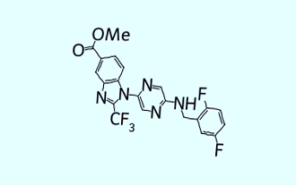 COC(=O)c1ccc2c(c1)nc(C(F)(F)F)n2-c1cnc(NCc2cc(F)ccc2F)cn1